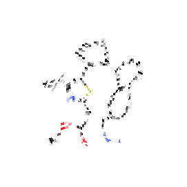 CC(C)(C)OC(=O)[C@H](c1nc(C(=O)O)c(-c2ccccc2)s1)C(N)c1ccc2ccccc2c1